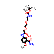 COc1ccc(NC(=O)COCCOCCNC(=O)OC(C)(C)C)c(O)c1C(N)=O